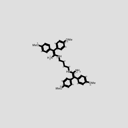 COc1ccc(C(=C(N)BCCCCBC(N)=C(c2ccc(OC)cc2)c2ccc(OC)cc2)c2ccc(OC)cc2)cc1